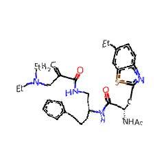 C=C(CN(CC)CC)C(=O)NC[C@H](Cc1ccccc1)NC(=O)[C@H](Cc1nc2ccc(CC)cc2s1)NC(C)=O